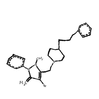 C=C1C(Br)=C(CN2CCC(CCCc3ccccc3)CC2)N(C)N1c1ccccc1